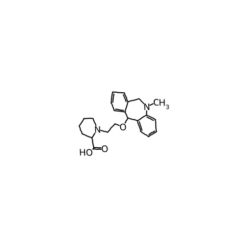 CN1Cc2ccccc2C(OCCN2CCCCC2C(=O)O)c2ccccc21